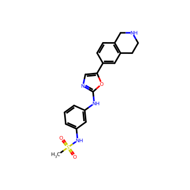 CS(=O)(=O)Nc1cccc(Nc2ncc(-c3ccc4c(c3)CCNC4)o2)c1